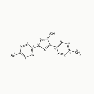 CC(=O)c1ccc(-n2cc(C#N)c(-c3ccc(C)cc3)c2)cc1